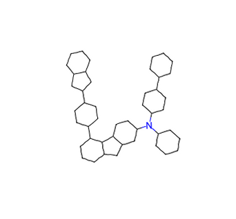 C1CCC(C2CCC(N(C3CCCCC3)C3CCC4C(CC5CCCC(C6CCC(C7CC8CCCCC8C7)CC6)C54)C3)CC2)CC1